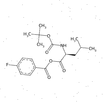 CC(C)C[C@H](NC(=O)OC(C)(C)C)C(=O)OC(=O)c1ccc(F)cc1